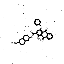 COC1CCC2CC(OC(=O)c3cc(Sc4ccccc4)c4c(c3N)C(=O)c3ccccc3C4=O)CCC2C1